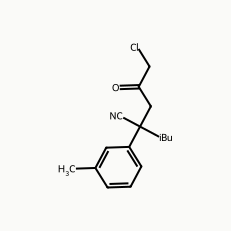 CCC(C)C(C#N)(CC(=O)CCl)c1cccc(C)c1